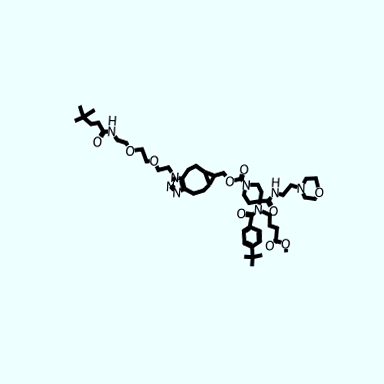 COC(=O)CCCN(C(=O)c1ccc(C(C)(C)C)cc1)C1(C(=O)NCCN2CCOCC2)CCN(C(=O)OCC2C3CCc4nnn(CCOCCOCCNC(=O)CCC(C)(C)C)c4CCC32)CC1